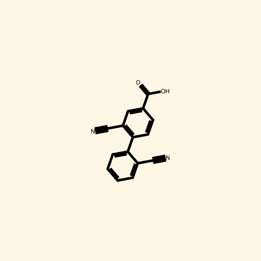 N#Cc1ccccc1-c1ccc(C(=O)O)cc1C#N